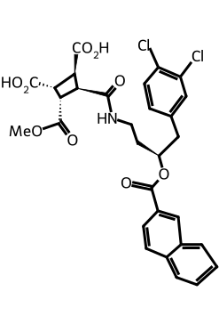 COC(=O)[C@@H]1[C@H](C(=O)O)[C@@H](C(=O)O)[C@H]1C(=O)NCC[C@@H](Cc1ccc(Cl)c(Cl)c1)OC(=O)c1ccc2ccccc2c1